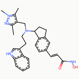 Cc1nn(C)c(C)c1CN(CCc1c[nH]c2ccccc12)C1CCc2cc(/C=C/C(=O)NO)ccc21